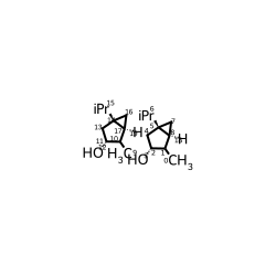 CC1[C@H](O)C[C@]2(C(C)C)C[C@@H]12.CC1[C@H](O)C[C@]2(C(C)C)C[C@@H]12